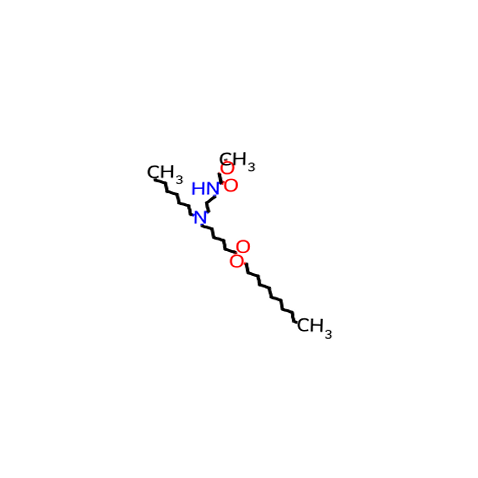 CCCCCCCCCCCOC(=O)CCCCCN(CCCCCCCC)CCCNC(=O)COC